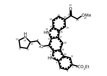 CCOC(=O)c1ccc2[nH]c3c(OCC4CCCN4)c4[nH]c5ccc(C(=O)COC)cc5c4cc3c2c1